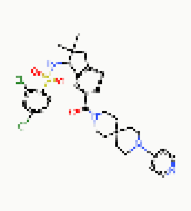 CC1(C)Cc2ccc(C(=O)N3CCC4(CC3)CCN(c3ccncc3)CC4)cc2C1NS(=O)(=O)c1ccc(Cl)cc1Cl